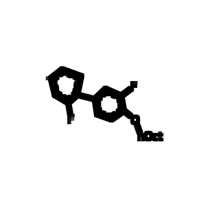 CCCCCCCCOc1ccc(-c2cc[c]cc2F)cc1F